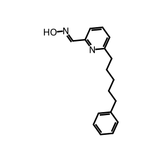 ON=Cc1cccc(CCCCCc2ccccc2)n1